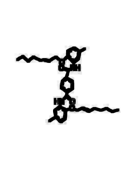 CCCCCC=CCOc1ccc(C)cc1NC(=O)c1ccc(C(=O)Nc2cc(C)ccc2OCC=CCCCCC)cc1